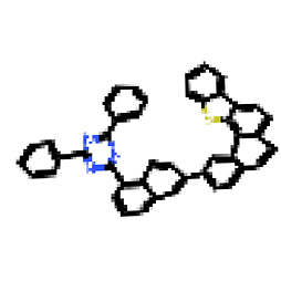 c1ccc(-c2nc(-c3ccccc3)nc(-c3cccc4cc(-c5ccc6ccc7ccc8c9ccccc9sc8c7c6c5)ccc34)n2)cc1